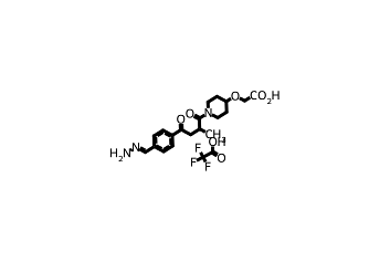 CC(CC(=O)c1ccc(C=NN)cc1)C(=O)N1CCC(OCC(=O)O)CC1.O=C(O)C(F)(F)F